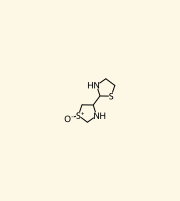 [O-][S+]1CNC(C2NCCS2)C1